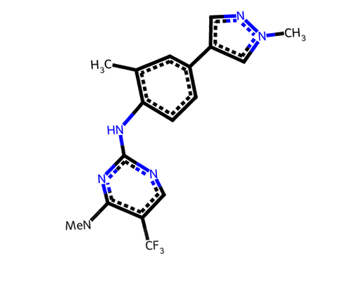 CNc1nc(Nc2ccc(-c3cnn(C)c3)cc2C)ncc1C(F)(F)F